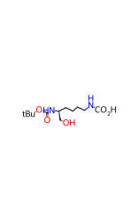 CC(C)(C)OC(=O)N[C@H](CO)CCCCNC(=O)O